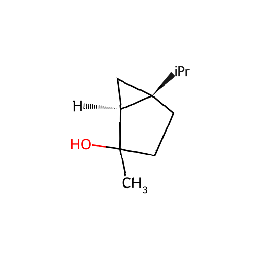 CC(C)[C@@]12CCC(C)(O)[C@H]1C2